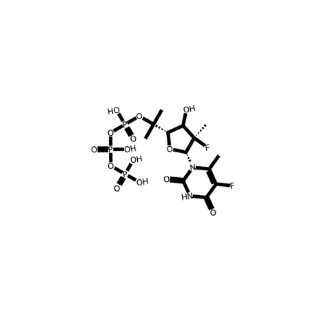 Cc1c(F)c(=O)[nH]c(=O)n1[C@@H]1O[C@H](C(C)(C)OP(=O)(O)OP(=O)(O)OP(=O)(O)O)C(O)[C@@]1(C)F